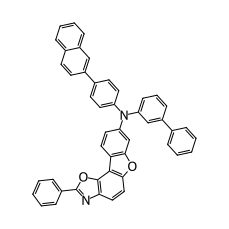 c1ccc(-c2cccc(N(c3ccc(-c4ccc5ccccc5c4)cc3)c3ccc4c(c3)oc3ccc5nc(-c6ccccc6)oc5c34)c2)cc1